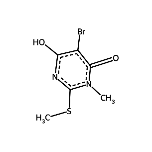 CSc1nc(O)c(Br)c(=O)n1C